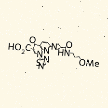 COCCCNC(=O)C1CN(c2ccc3c(=O)c(C(=O)O)cn(-c4ncns4)c3n2)C1